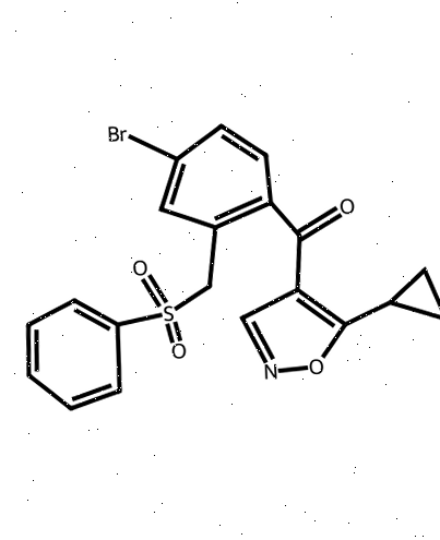 O=C(c1ccc(Br)cc1CS(=O)(=O)c1ccccc1)c1cnoc1C1CC1